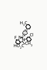 Cc1cccc(N2CCN(C3=Nc4c(F)cccc4C(CC(=O)O)N3c3cc(Cl)ccc3C)CC2)c1